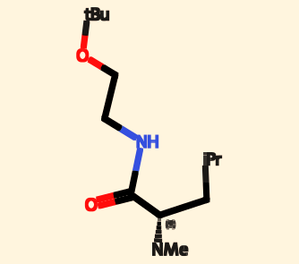 CN[C@@H](CC(C)C)C(=O)NCCOC(C)(C)C